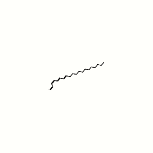 [CH]=C/C=C\C=CC=CCCCCCCCCCCCC